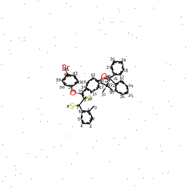 Cc1ccccc1C(=S)c1sc2cc(O[Si](c3ccccc3)(c3ccccc3)C(C)(C)C)ccc2c1Oc1ccc(Br)cc1